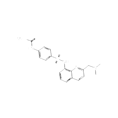 COC(=O)Nc1ccc(S(=O)(=O)Nc2cccc3ccc(CN(C)C)nc23)cc1